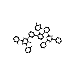 Cc1ccc(-c2c(-c3cccc(-c4nc(-c5ccccc5C)nc(-c5ccccc5C)c4C)c3)cccc2-c2ccccc2-c2nc(-c3ccccc3)nc(-c3ccccc3)n2)c(C)n1